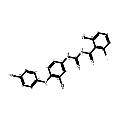 O=C(NC(=O)c1c(F)cccc1Cl)Nc1ccc(Oc2ccc(F)cc2)c(Cl)c1